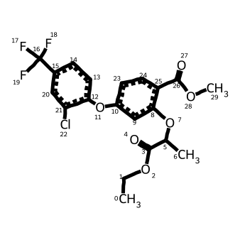 CCOC(=O)C(C)Oc1cc(Oc2ccc(C(F)(F)F)cc2Cl)ccc1C(=O)OC